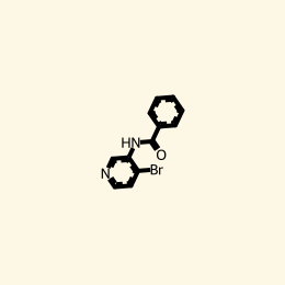 O=C(Nc1cnccc1Br)c1ccccc1